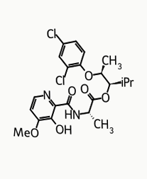 COc1ccnc(C(=O)N[C@@H](C)C(=O)O[C@H](C(C)C)[C@H](C)Oc2ccc(Cl)cc2Cl)c1O